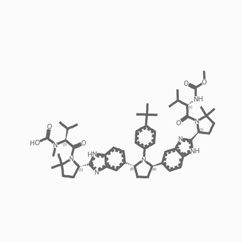 COC(=O)N[C@H](C(=O)N1[C@H](c2nc3cc([C@H]4CC[C@H](c5ccc6[nH]c([C@@H]7CCC(C)(C)N7C(=O)[C@H](C(C)C)N(C)C(=O)O)nc6c5)N4c4ccc(C(C)(C)C)cc4)ccc3[nH]2)CCC1(C)C)C(C)C